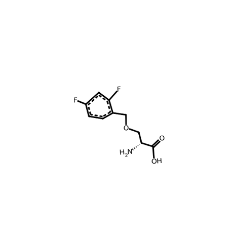 N[C@H](COCc1ccc(F)cc1F)C(=O)O